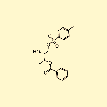 Cc1ccc(S(=O)(=O)OC[C@@H](O)[C@H](C)OC(=O)c2ccccc2)cc1